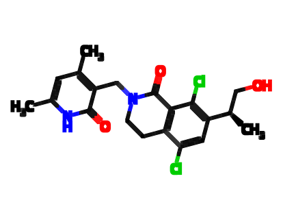 Cc1cc(C)c(CN2CCc3c(Cl)cc([C@H](C)CO)c(Cl)c3C2=O)c(=O)[nH]1